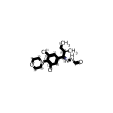 CC[C@@H](C)/C(=N\NC=O)c1cc(Cl)c(N2CCOCC2)c(Cl)c1